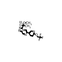 COC(C)(C)c1nnc2cnc(-c3ccc(OCC(F)(F)F)nc3)cn12